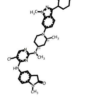 C[C@H]1C[C@@H](N(C)c2ncc(Cl)c(Nc3ccc4c(c3)CC(=O)N4C)n2)CCN1c1ccc2c(C3CCC(=O)NC3=O)nn(C)c2c1